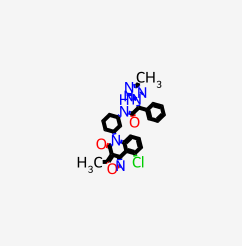 Cc1nnn(C(C(=O)NC2CCCC(n3c(=O)c4c(C)onc4c4c(Cl)cccc43)C2)c2ccccc2)n1